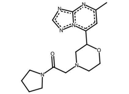 Cc1cc(C2CN(CC(=O)N3CCCC3)CCO2)n2ncnc2n1